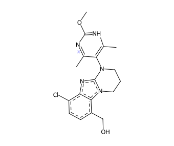 COC(=N)/N=C(/C)C(=C(C)C)N1CCCn2c1nc1c(Cl)ccc(CO)c12